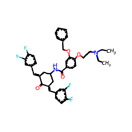 CCN(CC)CCOc1ccc(C(=O)NC2C/C(=C\c3ccc(F)c(F)c3)C(=O)/C(=C/c3ccc(F)c(F)c3)C2)cc1OCc1ccccc1